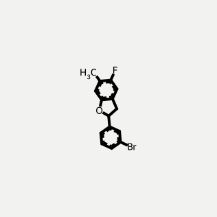 Cc1cc2c(cc1F)CC(c1cccc(Br)c1)O2